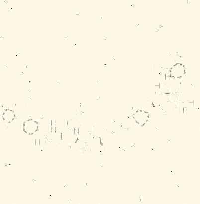 Cc1ncsc1-c1ccc([C@H](C)NC(=O)[C@@H]2C[C@@H](O)CN2C(=O)[C@@H](NC(=O)CCCCc2ccc(C(=O)N[C@H]3C(C)(C)[C@H](Oc4ccc(C#N)c(Cl)c4)C3(C)C)cc2)C(C)(C)C)cc1